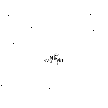 [F].[Mn].[Na].[Ni]